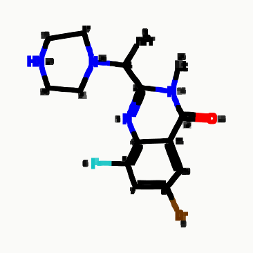 CCCC(c1nc2c(F)cc(Br)cc2c(=O)n1CC)N1CCNCC1